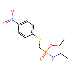 CCNP(=O)(CSc1ccc([N+](=O)[O-])cc1)OCC